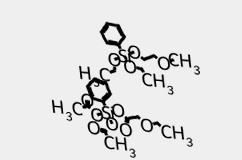 CCOCC(=O)O[Si](OC(C)=O)(OC(C)=O)c1ccccc1.CCO[Si](OCC)(OCCOC)c1ccccc1